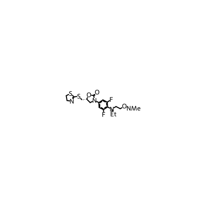 CCN(CCONC)c1c(F)cc(N2C[C@H](CSC3=NCCS3)OC2=O)cc1F